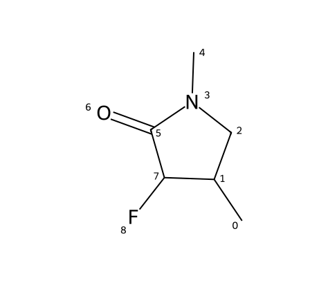 CC1CN(C)C(=O)C1F